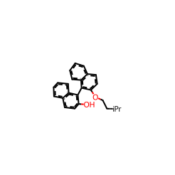 CC(C)CCOc1ccc2ccccc2c1-c1c(O)ccc2ccccc12